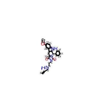 C#CCNCCCN1C(=O)N2[C@H](c3ccccc3)c3[nH]c4ccc(OCC)cc4c3C[C@@]2(C)C1=O